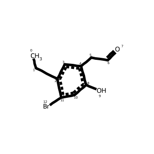 CCc1cc(CC=O)c(O)cc1Br